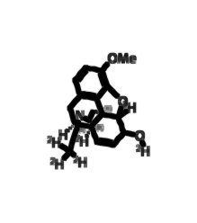 [2H]OC1C=C[C@@]2([2H])[C@H]3Cc4ccc(OC)c5c4[C@@]2(CCN3C([2H])([2H])[2H])C1([2H])O5